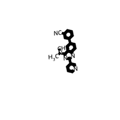 CN(C)c1nc(-c2cccnc2)nc2ccc(-c3cccc(C#N)c3)cc12